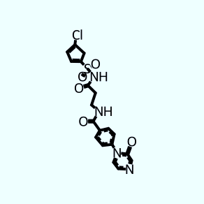 O=C(CCNC(=O)c1ccc(-n2ccncc2=O)cc1)NS(=O)(=O)C1=CC=C(Cl)C1